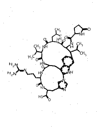 CC(C)CC1NC(=O)C(NC(=O)C2CCC(=O)N2)C(C(C)C)c2ccc3c4c([nH]c3c2)-n2cnc(c2)CC(C(=O)O)NC(=O)C(CCCN=C(N)N)NC(=O)C(C4)NC(=O)C(C(C)C)NC1=O